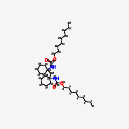 CCCCCCCCCOC(=O)NC1(CC2(NC(=O)OCCCCCCCCC)CCCCC2)CCCCC1